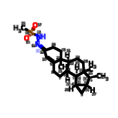 C[C@H]1[C@@H]2C[C@@H]2[C@H]2[C@@H]3CCC4=C/C(=N/NS(C)(=O)=O)CC[C@]4(C)[C@H]3CC[C@@]21C